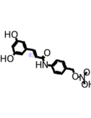 O=C(/C=C/c1cc(O)cc(O)c1)Nc1ccc(CON(O)O)cc1